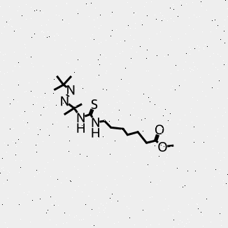 COC(=O)CCCCCCNC(=S)NC(C)(C)N=NC(C)(C)C